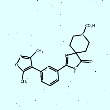 Cc1noc(C)c1-c1cccc(C2=NC3(CCN(C(=O)O)CC3)C(=O)N2)c1